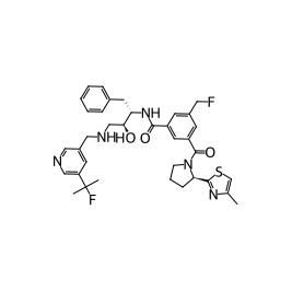 Cc1csc([C@H]2CCCN2C(=O)c2cc(CF)cc(C(=O)N[C@@H](Cc3ccccc3)[C@@H](O)CNCc3cncc(C(C)(C)F)c3)c2)n1